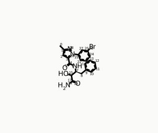 Cc1cc(C(=O)N[C@@H](Cc2ccccc2)C(O)C(N)=O)n(-c2cccc(Br)c2)n1